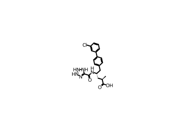 C[C@H](C[C@@H](Cc1ccc(-c2cccc(Cl)c2)cc1)NC(=O)C1=NNNN1)C(=O)O